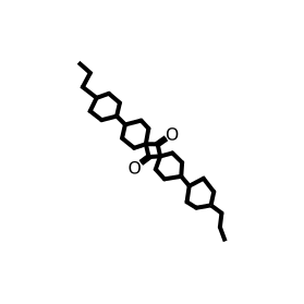 CCCC1CCC(C2CCC3(CC2)C(=O)C2(CCC(C4CCC(CCC)CC4)CC2)C3=O)CC1